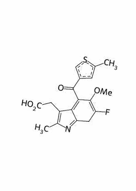 COC1=C(F)CC2=NC(C)=C(CC(=O)O)C2=C1C(=O)c1csc(C)c1